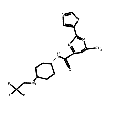 Cc1cc(C(=O)N[C@H]2CC[C@H](NCC(F)(F)F)CC2)nc(-c2cncs2)n1